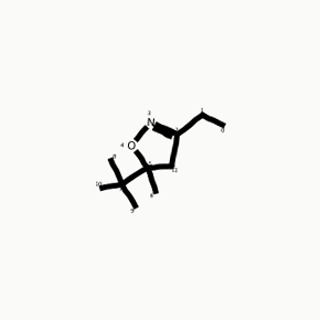 CCC1=NOC(C)(C(C)(C)C)C1